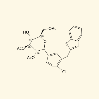 CC(=O)OC[C@H]1OC(c2ccc(Cl)c(Cc3cc4ccccc4s3)c2)[C@H](OC(C)=O)[C@@H](OC(C)=O)[C@@H]1O